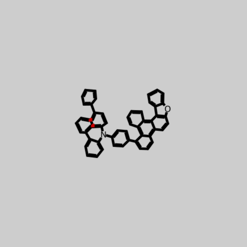 c1ccc(-c2ccc(N(c3ccc(-c4cccc5c6ccc7oc8ccccc8c7c6c6ccccc6c45)cc3)c3ccccc3-c3ccccc3)cc2)cc1